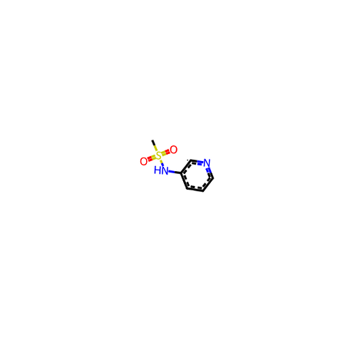 CS(=O)(=O)Nc1[c]nccc1